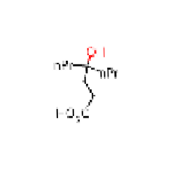 CCCC(O)(CCC)CCC(=O)O